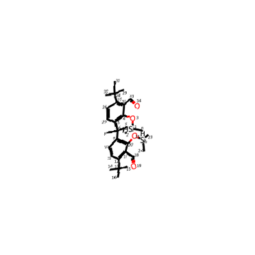 C[SiH](C)Oc1c(C(C)(C)c2ccc(C(C)(C)C)c(C=O)c2O[SiH](C)C)ccc(C(C)(C)C)c1C=O